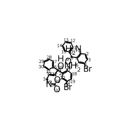 Nc1ccc(Br)cc1C(=O)c1ccccc1.Nc1ccc(Br)cc1C(O)(c1ccccc1)c1ccnc(=O)o1